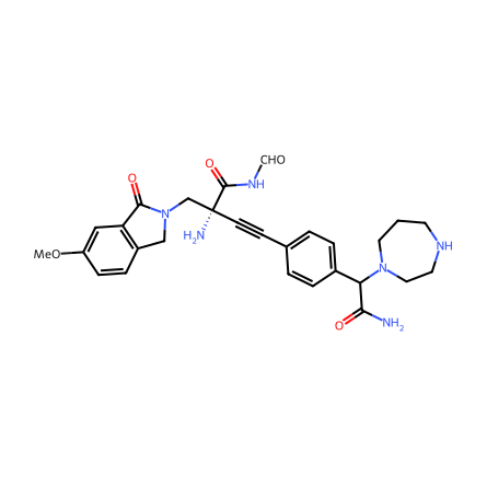 COc1ccc2c(c1)C(=O)N(C[C@](N)(C#Cc1ccc(C(C(N)=O)N3CCCNCC3)cc1)C(=O)NC=O)C2